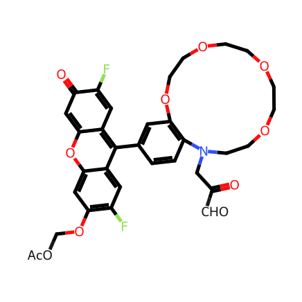 CC(=O)OCOc1cc2oc3cc(=O)c(F)cc-3c(-c3ccc4c(c3)OCCOCCOCCOCCN4CC(=O)C=O)c2cc1F